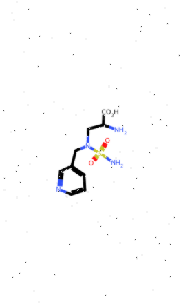 NC(CN(Cc1cccnc1)S(N)(=O)=O)C(=O)O